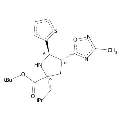 Cc1noc([C@@H]2C[C@@](CC(C)C)(C(=O)OC(C)(C)C)N[C@H]2c2cccs2)n1